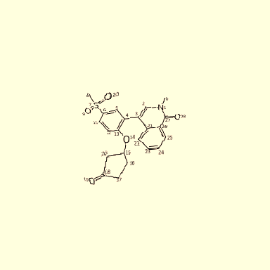 Cn1cc(-c2cc(S(C)(=O)=O)ccc2OC2CCC(=O)C2)c2ccccc2c1=O